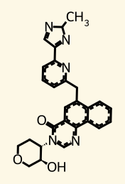 CC1N=CC(c2cccc(Cc3cc4c(=O)n([C@H]5CCOC[C@@H]5O)cnc4c4ccccc34)n2)=N1